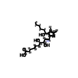 CCCCCC(O)c1c(/C=C/C(O)C(O)CC=CCCC(=O)O)nc(C)n1C